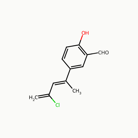 C=C(Cl)/C=C(\C)c1ccc(O)c(C=O)c1